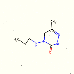 CCCNN1CC(C)=NNC1=O